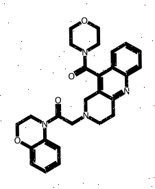 O=C(c1c2c(nc3ccccc13)CCN(CC(=O)N1CCOc3ccccc31)C2)N1CCOCC1